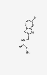 CC(C)(C)OC(=O)NCc1nc2cc(Br)ccc2o1